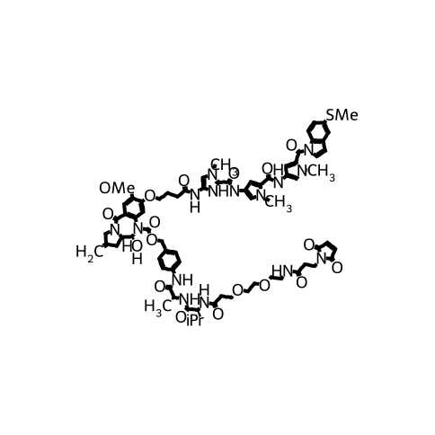 C=C1C[C@H]2[C@H](O)N(C(=O)OCc3ccc(NC(=O)[C@H](C)NC(=O)[C@@H](NC(=O)CCOCCOCCNC(=O)CCN4C(=O)C=CC4=O)C(C)C)cc3)c3cc(OCCCC(=O)Nc4cn(C)c(C(=O)Nc5cc(C(=O)Nc6cc(C(=O)n7ccc8cc(SC)ccc87)n(C)c6)n(C)c5)n4)c(OC)cc3C(=O)N2C1